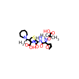 CC(C1=C(C(=O)O)N2C(=O)[C@@H](NC(=O)C(=NOC(C)(C)C(=O)O)c3ccco3)[C@H]2SC1)N1CCCCCCC1